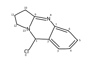 ClC1c2ccccc2N=C2CCCN21